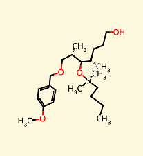 CCCC[Si](C)(C)O[C@H]([C@@H](C)CCCO)[C@@H](C)COCc1ccc(OC)cc1